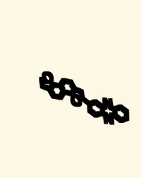 c1ccc2nc3cc(-c4cc5ccc6c(ccc7ccoc76)c5o4)ccc3nc2c1